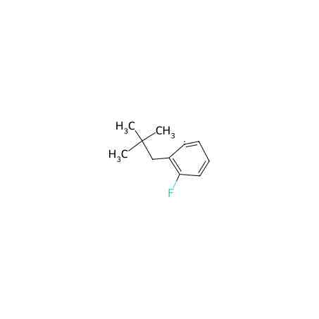 CC(C)(C)Cc1[c]cccc1F